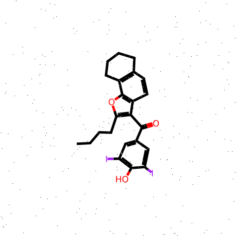 CCCCc1oc2c3c(ccc2c1C(=O)c1cc(I)c(O)c(I)c1)CCCC3